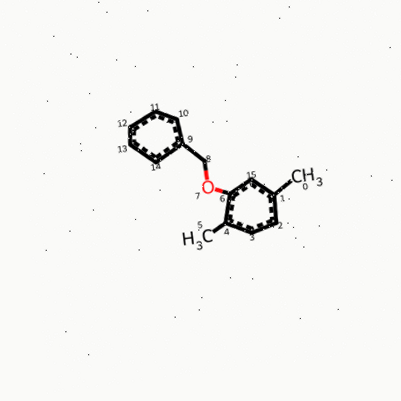 Cc1ccc(C)c(OCc2ccccc2)c1